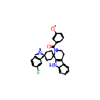 COc1cccc(C(=O)N2CCc3c([nH]c4ccccc34)C23CCC(c2cccc(F)c2)(N(C)C)CC3)c1